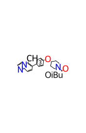 Cc1c(-c2ccc(OC3CCN(C(=O)OCC(C)C)CC3)cc2)ccc2nccn12